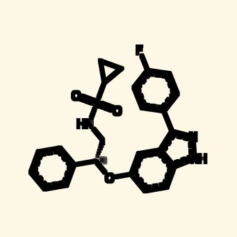 O=S(=O)(NC[C@H](Oc1ccc2[nH]nc(-c3ccc(F)cc3)c2c1)c1ccccc1)C1CC1